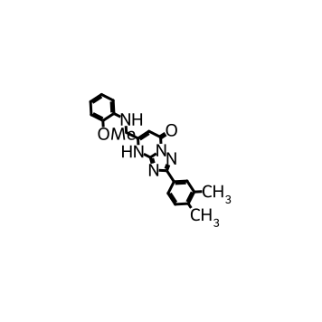 COc1ccccc1NCc1cc(=O)n2nc(-c3ccc(C)c(C)c3)nc2[nH]1